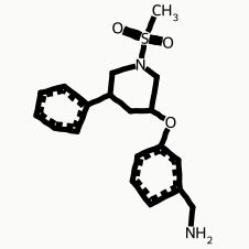 CS(=O)(=O)N1CC(Oc2cccc(CN)c2)CC(c2ccccc2)C1